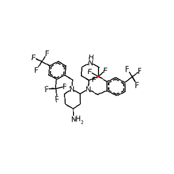 NC1CCN(Cc2ccc(C(F)(F)F)cc2C(F)(F)F)C(N(Cc2ccc(C(F)(F)F)cc2C(F)(F)F)C2CCNCC2)C1